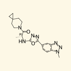 C[C@@H](Nc1nnc(-c2ccc3c(c2)nnn3C)o1)C(=O)N1CCC2(CC1)CC2